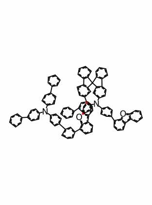 c1ccc(-c2ccc(N(c3ccc(-c4ccccc4)cc3)c3ccc(-c4cccc(-c5cccc6c5oc5cc(-c7ccc8c(c7)C7(c9ccccc9-8)c8ccccc8-c8ccc(N(c9ccc(-c%10ccccc%10)cc9)c9ccc(-c%10cccc%11c%10oc%10ccccc%10%11)cc9)cc87)ccc56)c4)cc3)cc2)cc1